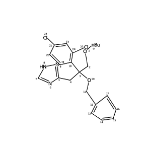 CCCCOCC(Cc1nc[nH]n1)(OCc1ccccc1)c1ccc(Cl)cc1Cl